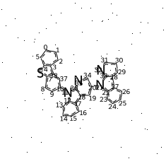 c1ccc2c(c1)sc1ccc(-n3c4ccccc4c4cc(-n5c6ccccc6c6cccnc65)cnc43)cc12